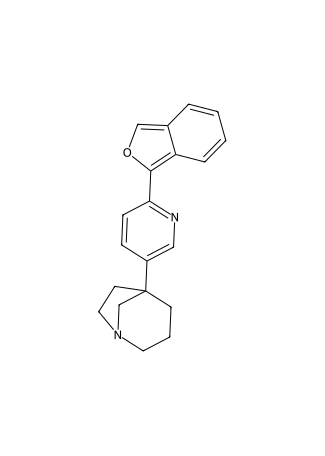 c1ccc2c(-c3ccc(C45CCCN(CC4)C5)cn3)occ2c1